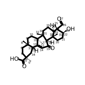 C[C@]1(C(=O)O)CC[C@]2(C)CC[C@]3(C)C(=CC(=O)[C@@H]4[C@@]5(C)CC[C@H](O)[C@@](C)(C=O)[C@@H]5CC[C@]43C)[C@@H]2C1